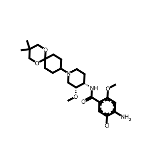 COc1cc(N)c(Cl)cc1C(=O)N[C@H]1CCN(C2CCC3(CC2)OCC(C)(C)CO3)C[C@H]1OC